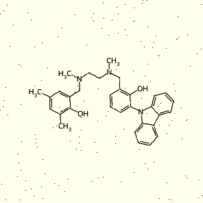 Cc1cc(C)c(O)c(CN(C)CCN(C)Cc2cccc(-n3c4ccccc4c4ccccc43)c2O)c1